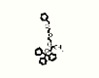 CC(COC(c1ccccc1)(c1ccccc1)c1ccccc1)OCCOCCOCc1ccccc1